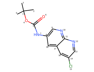 CC(C)(C)OC(=O)Nc1cnc2ncc(Cl)cc2c1